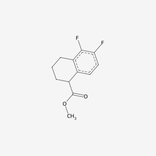 COC(=O)C1CCCc2c1ccc(F)c2F